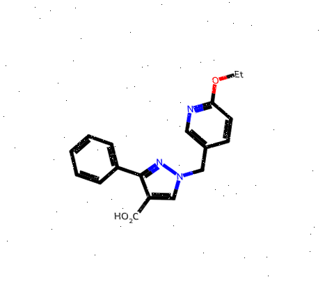 CCOc1ccc(Cn2cc(C(=O)O)c(-c3ccccc3)n2)cn1